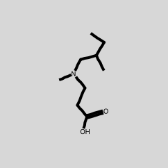 CCC(C)CN(C)CCC(=O)O